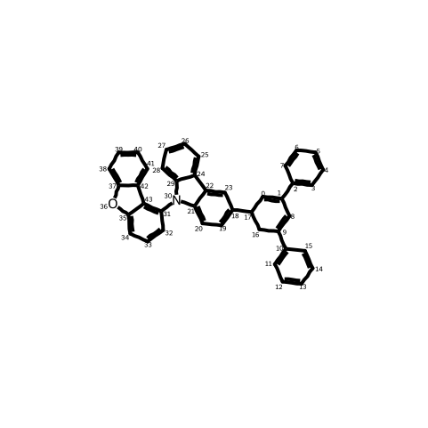 C1=C(c2ccccc2)C=C(c2ccccc2)CC1c1ccc2c(c1)c1ccccc1n2-c1cccc2oc3ccccc3c12